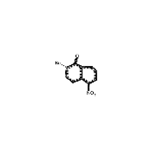 CC[C@@H](C)n1ccc2c([N+](=O)[O-])cccc2c1=O